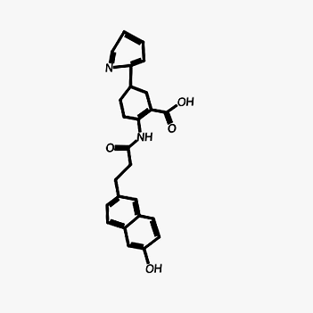 O=C(CCc1ccc2cc(O)ccc2c1)NC1=C(C(=O)O)CC(c2ccccn2)CC1